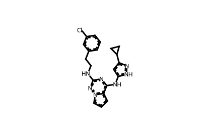 Clc1cccc(CCNc2nc(Nc3cc(C4CC4)n[nH]3)c3cccn3n2)c1